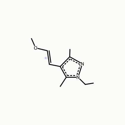 CCn1nc(C)c(/C=C/OC)c1C